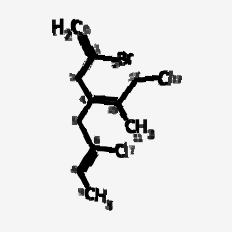 C=C(Br)CC(CC(Cl)=CC)=C(C)CCl